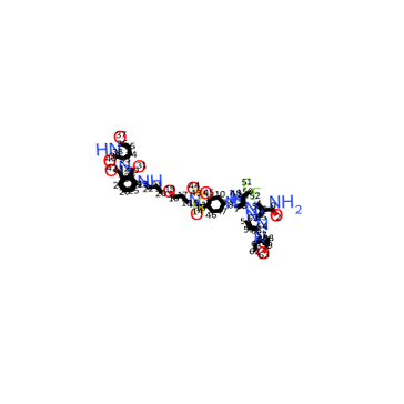 NC(=O)c1cn(-c2cn(C3CCC(C(=O)N(CCCOCCCNc4cccc5c4C(=O)N(C4CCC(=O)NC4=O)C5=O)[SH](=O)=O)CC3)nc2C(F)F)[n+]2ccc(N3CC4CC3CO4)nc12